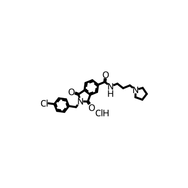 Cl.O=C(NCCCN1CCCC1)c1ccc2c(c1)C(=O)N(Cc1ccc(Cl)cc1)C2=O